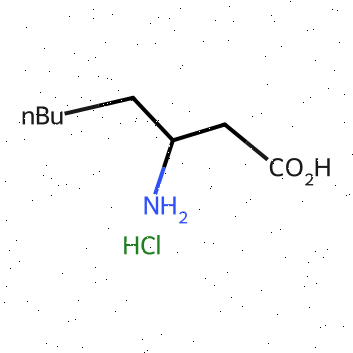 CCCCCC(N)CC(=O)O.Cl